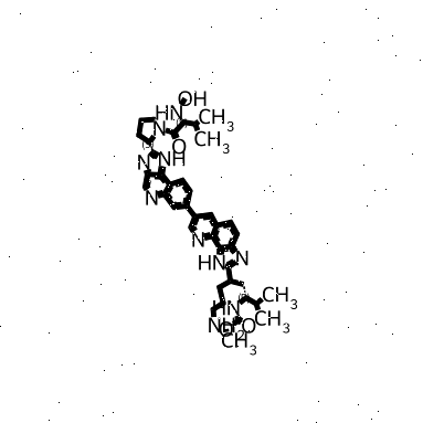 COC(=O)N[C@H](CC(CCCN)c1nc2ccc3cc(-c4ccc5c(c4)ncc4nc([C@@H]6CCCN6C(=O)[C@@H](NO)C(C)C)[nH]c45)cnc3c2[nH]1)C(C)C